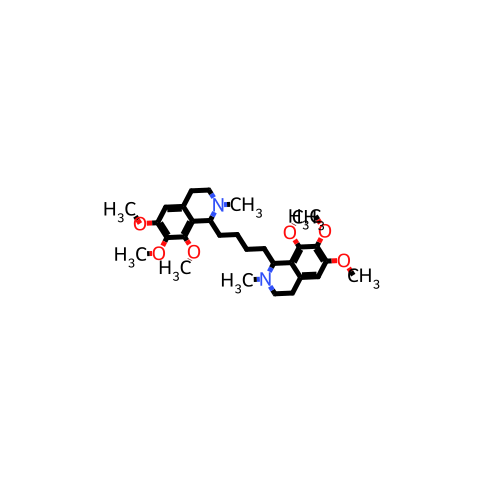 COc1cc2c(c(OC)c1OC)C(CCCCC1c3c(cc(OC)c(OC)c3OC)CCN1C)N(C)CC2